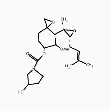 COC1[C@H](OC(=O)N2CCC(O)C2)CCC2(CO2)[C@H]1[C@@]1(C)O[C@@H]1CC=C(C)C